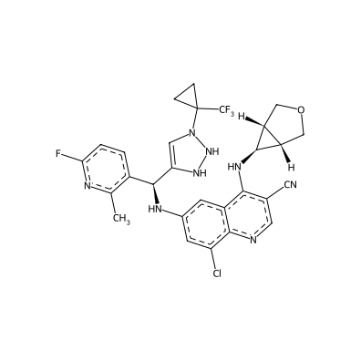 Cc1nc(F)ccc1[C@H](Nc1cc(Cl)c2ncc(C#N)c(N[C@H]3[C@@H]4COC[C@@H]43)c2c1)C1=CN(C2(C(F)(F)F)CC2)NN1